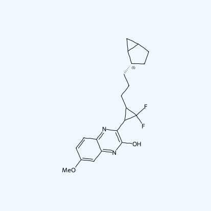 COc1ccc2nc(C3C(CCC[C@H]4CCC5CC54)C3(F)F)c(O)nc2c1